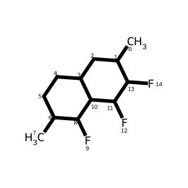 CC1CC2CCC(C)C(F)C2C(F)C1F